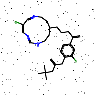 C=C(Cc1ccc(C(=C)CCCC2CC\N=C/C(Cl)=C\N=C\NCC2)cc1F)CC(C)(C)C